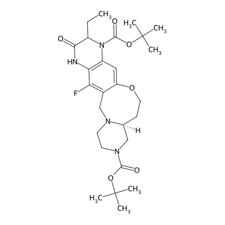 CCC1C(=O)Nc2c(cc3c(c2F)CN2CCN(C(=O)OC(C)(C)C)C[C@@H]2CCO3)N1C(=O)OC(C)(C)C